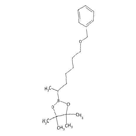 CC(CCCCCOCc1ccccc1)B1OC(C)(C)C(C)(C)O1